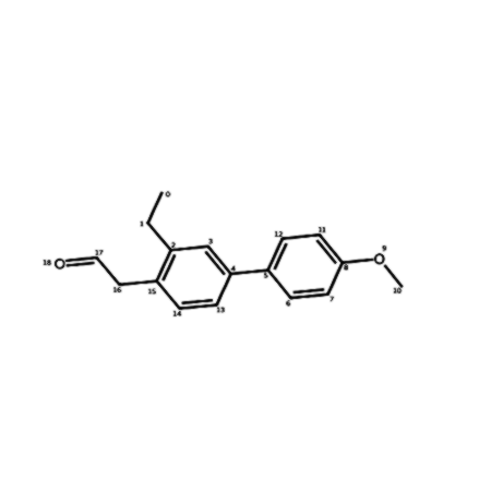 CCc1cc(-c2ccc(OC)cc2)ccc1CC=O